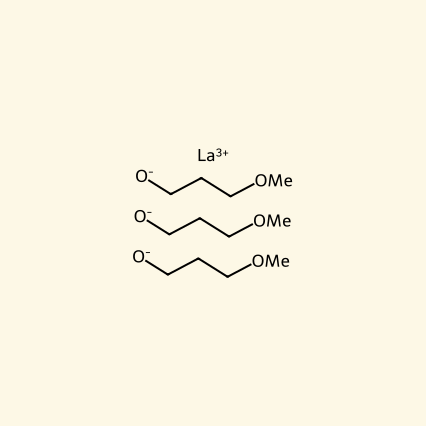 COCCC[O-].COCCC[O-].COCCC[O-].[La+3]